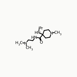 CC(C)NC1(C(=O)NCCN(C)C)CCN(C)CC1